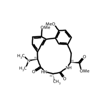 COC(=O)[C@@H]1Cc2ccc(OC)c(c2)-c2cc(ccc2OC)[C@H](N(C)C)C(=O)N[C@@H](C)C(=O)N1